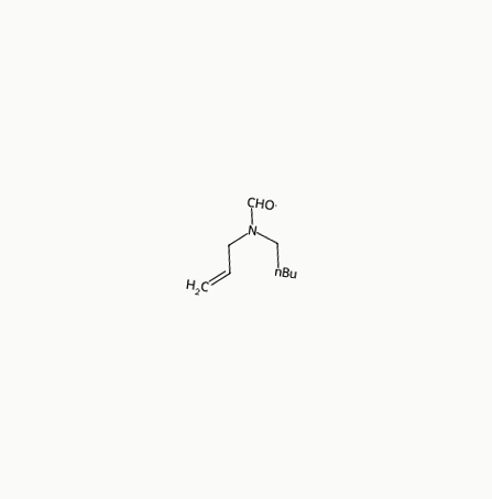 C=CCN([C]=O)CCCCC